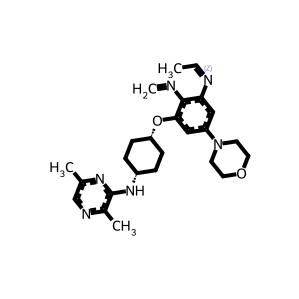 C=Nc1c(/N=C\C)cc(N2CCOCC2)cc1O[C@H]1CC[C@@H](Nc2nc(C)cnc2C)CC1